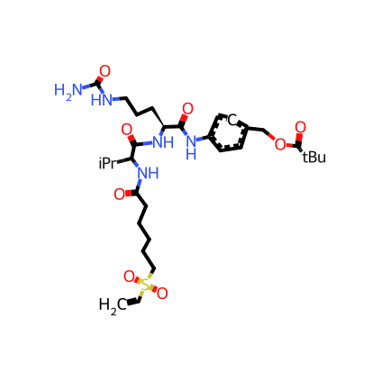 C=CS(=O)(=O)CCCCCC(=O)NC(C(=O)N[C@@H](CCCNC(N)=O)C(=O)Nc1ccc(COC(=O)C(C)(C)C)cc1)C(C)C